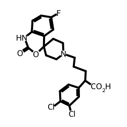 O=C1Nc2ccc(F)cc2C2(CCN(CCCC(C(=O)O)c3ccc(Cl)c(Cl)c3)CC2)O1